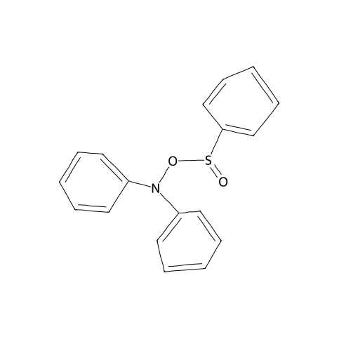 O=S(ON(c1ccccc1)c1ccccc1)c1ccccc1